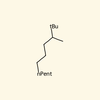 CCCCCCCCC(C)C(C)(C)C